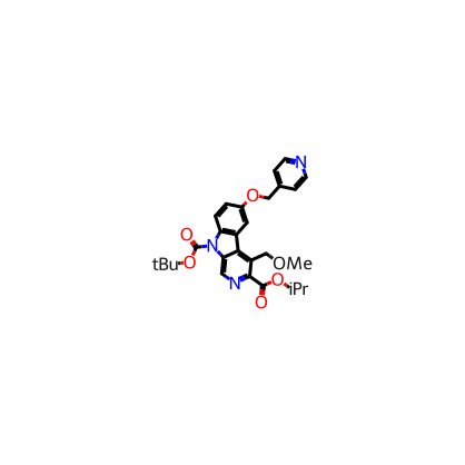 COCc1c(C(=O)OC(C)C)ncc2c1c1cc(OCc3ccncc3)ccc1n2C(=O)OC(C)(C)C